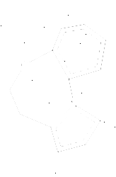 c1ccc2c(c1)OCCc1cccn1-2